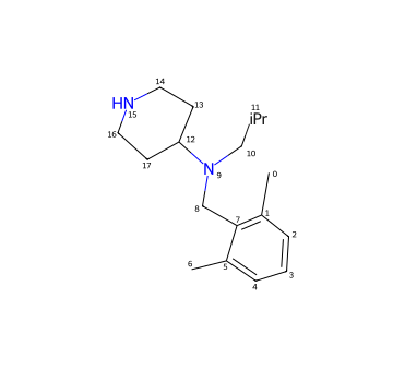 Cc1cccc(C)c1CN(CC(C)C)C1CCNCC1